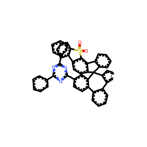 O=S1(=O)c2ccccc2-c2ccc3c(c21)-c1ccccc1C31c2ccccc2-c2ccccc2-c2ccc(-c3nc(-c4ccccc4)nc(-c4ccccc4)n3)cc21